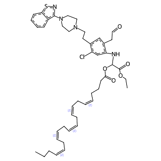 CCC/C=C\C/C=C\C/C=C\C/C=C\C/C=C\CCCC(=O)OC(Nc1cc(Cl)c(CCN2CCN(c3nsc4ccccc34)CC2)cc1CC=O)C(=O)OCC